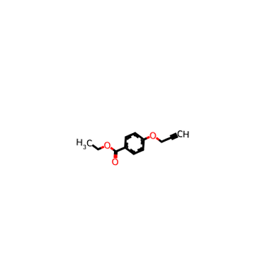 C#CCOc1ccc(C(=O)OCC)cc1